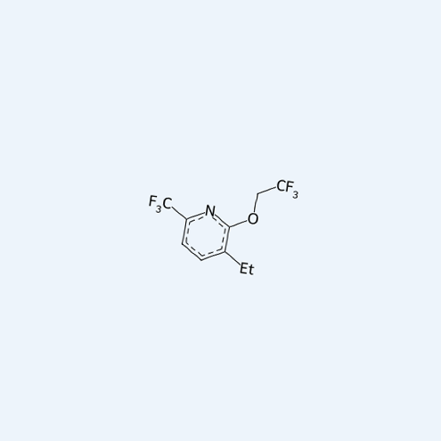 CCc1ccc(C(F)(F)F)nc1OCC(F)(F)F